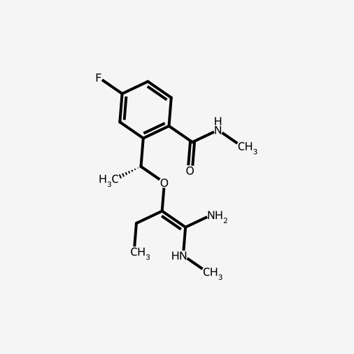 CC/C(O[C@H](C)c1cc(F)ccc1C(=O)NC)=C(/N)NC